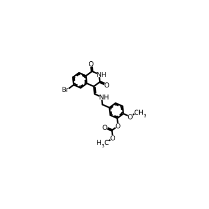 COC(=O)Oc1cc(CNC=C2C(=O)NC(=O)c3ccc(Br)cc32)ccc1OC